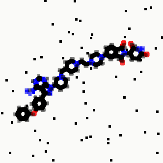 Nc1ncnc2c1c(-c1ccc(Oc3ccccc3)cc1)nn2C1CCCN(CC2CCN(CCN3CCN(c4ccc5c(c4)C(=O)N(C4CCC(=O)NC4=O)C5=O)CC3)CC2)C1